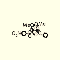 CO[C@@]1(C)O[C@@H]2[C@H](OCc3ccccc3)OC[C@H](OC(=O)c3ccc([N+](=O)[O-])cc3)[C@H]2O[C@@]1(C)OC